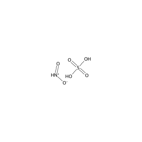 O=S(=O)(O)O.O=[NH+][O-]